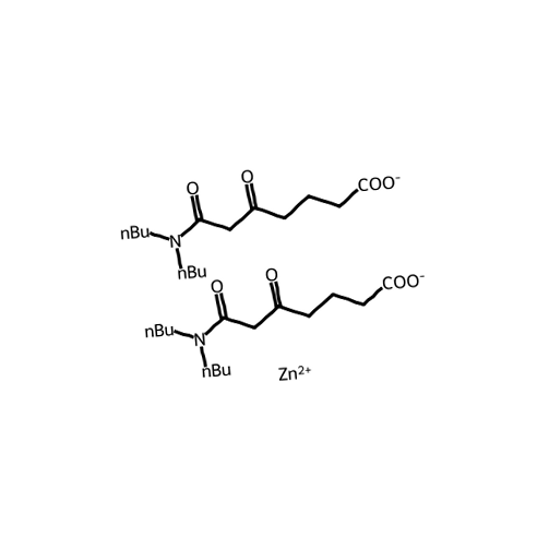 CCCCN(CCCC)C(=O)CC(=O)CCCC(=O)[O-].CCCCN(CCCC)C(=O)CC(=O)CCCC(=O)[O-].[Zn+2]